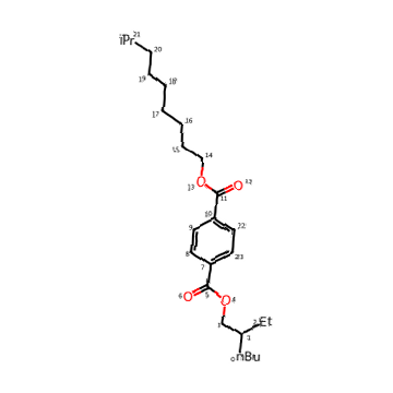 CCCCC(CC)COC(=O)c1ccc(C(=O)OCCCCCCCC(C)C)cc1